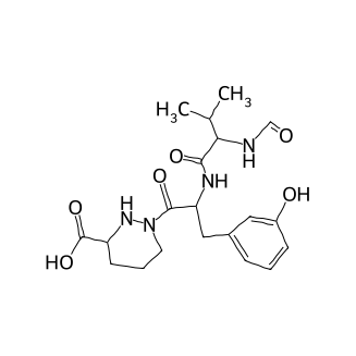 CC(C)C(NC=O)C(=O)NC(Cc1cccc(O)c1)C(=O)N1CCCC(C(=O)O)N1